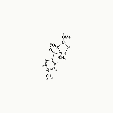 CON1CC[C@@](C)(C(=O)c2ccc(C)cc2)C1=O